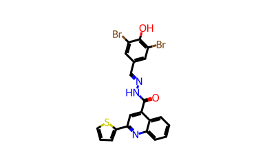 O=C(N/N=C/c1cc(Br)c(O)c(Br)c1)c1cc(-c2cccs2)nc2ccccc12